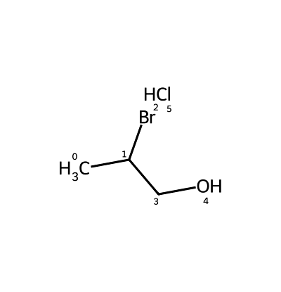 CC(Br)CO.Cl